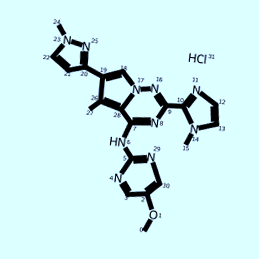 COc1cnc(Nc2nc(-c3nccn3C)nn3cc(-c4ccn(C)n4)c(C)c23)nc1.Cl